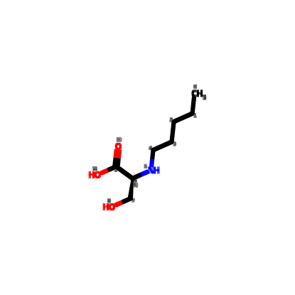 CCCCCN[C@@H](CO)C(=O)O